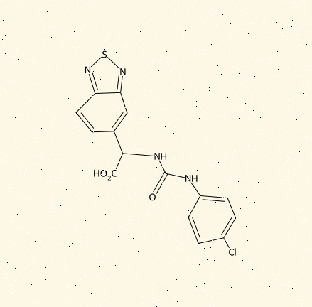 O=C(Nc1ccc(Cl)cc1)NC(C(=O)O)c1ccc2nsnc2c1